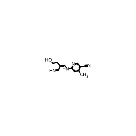 Cc1cc(N/C=C(\C=N)CCO)ncc1C#N